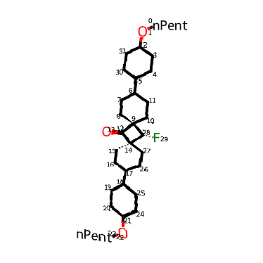 CCCCCOC1CCC(C2CC[C@]3(CC2)C(=O)[C@@]2(CCC(C4CCC(OCCCCC)CC4)CC2)[C@H]3F)CC1